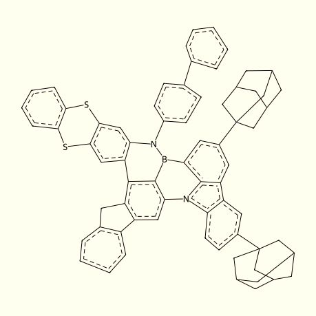 c1ccc(-c2ccc(N3B4c5c(cc6c(c5-c5cc7c(cc53)Sc3ccccc3S7)Cc3ccccc3-6)-n3c5ccc(C67CC8CC(CC(C8)C6)C7)cc5c5cc(C67CC8CC(CC(C8)C6)C7)cc4c53)cc2)cc1